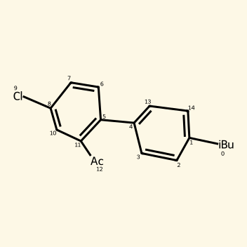 CCC(C)c1ccc(-c2ccc(Cl)cc2C(C)=O)cc1